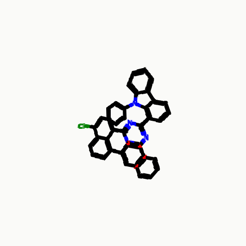 Clc1ccc(-c2nc(-c3ccccc3)nc(-c3cccc4c5ccccc5n(-c5ccccc5)c34)n2)c2c(-c3ccccc3)cccc12